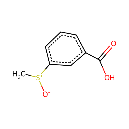 C[S+]([O-])c1cccc(C(=O)O)c1